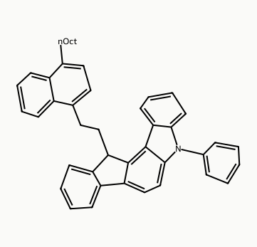 CCCCCCCCc1ccc(CCC2c3ccccc3-c3ccc4c(c32)c2ccccc2n4-c2ccccc2)c2ccccc12